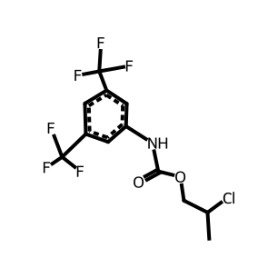 CC(Cl)COC(=O)Nc1cc(C(F)(F)F)cc(C(F)(F)F)c1